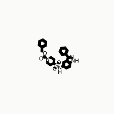 O=C(OCc1ccccc1)N1CCC(S(=O)(=O)Nc2ccc3[nH]nc(-c4ccccc4)c3c2)CC1